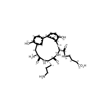 NCCC[C@@H]1NC(=O)[C@@H](N)Cc2cc(ccc2O)-c2ccc(O)c(c2)C[C@@H](C(=O)NCCCC(=O)O)NC1=O